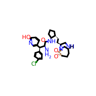 N[C@H](C(=O)N[C@H]1CCC[C@@H]1CC[C@H]1CN[C@@H]2CCCS(=O)(=O)N1C2)[C@@H](c1ccc(Cl)cc1)c1ccc(O)nc1